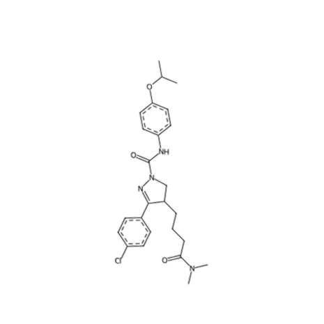 CC(C)Oc1ccc(NC(=O)N2CC(CCCC(=O)N(C)C)C(c3ccc(Cl)cc3)=N2)cc1